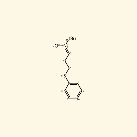 CC(C)(C)[N+]([O-])=CCCSc1ccccc1